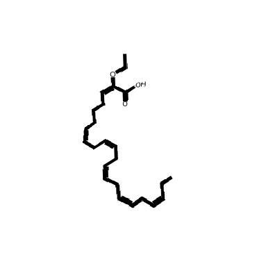 CC/C=C\C/C=C\C/C=C\C/C=C\C/C=C\CCC/C=C(/OCC)C(=O)O